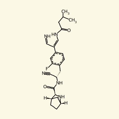 CC(C)CC(=O)N/C=C(\C=N)c1ccc(C[C@@H](C#N)NC(=O)[C@H]2N[C@@H]3CC[C@H]2C3)c(F)c1